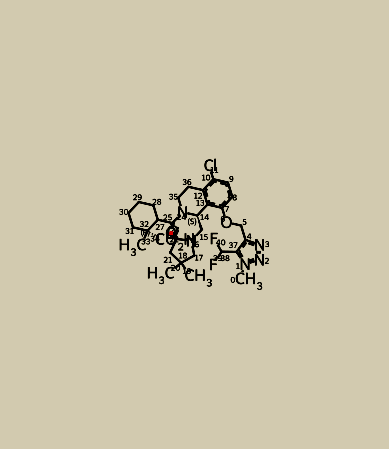 Cn1nnc(COc2ccc(Cl)c3c2[C@@H](CN2CC(C)(C)CC2=O)N(C(=O)C2CCCC[C@@]2(C)C(=O)O)CC3)c1C(F)F